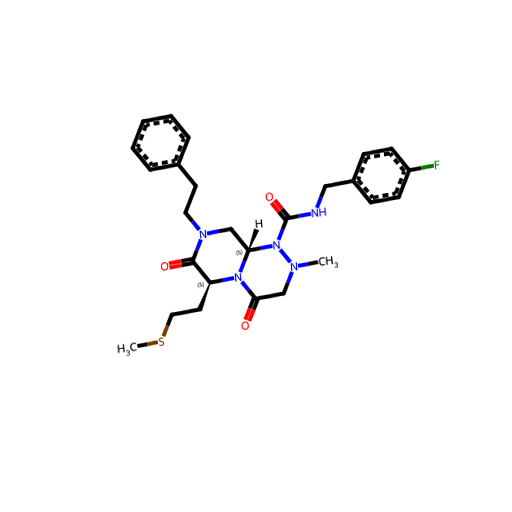 CSCC[C@H]1C(=O)N(CCc2ccccc2)C[C@H]2N1C(=O)CN(C)N2C(=O)NCc1ccc(F)cc1